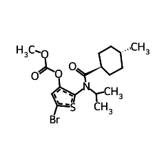 COC(=O)Oc1cc(Br)sc1N(C(=O)[C@H]1CC[C@H](C)CC1)C(C)C